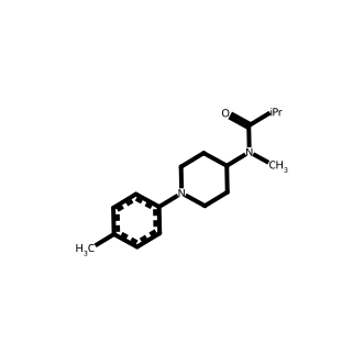 Cc1ccc(N2CCC(N(C)C(=O)C(C)C)CC2)cc1